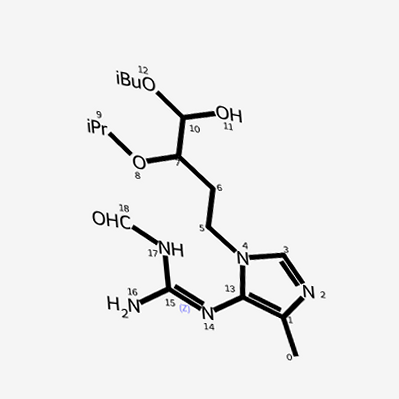 Cc1ncn(CCC(OC(C)C)C(O)OCC(C)C)c1/N=C(/N)NC=O